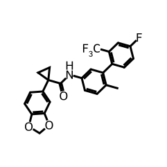 Cc1ccc(NC(=O)C2(c3ccc4c(c3)OCO4)CC2)cc1-c1ccc(F)cc1C(F)(F)F